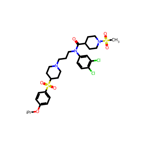 CC(C)Oc1ccc(S(=O)(=O)C2CCN(CCCN(C(=O)C3CCN(S(C)(=O)=O)CC3)c3ccc(Cl)c(Cl)c3)CC2)cc1